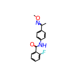 CON=C(C)c1ccc(NC(=O)c2ccccc2F)cc1